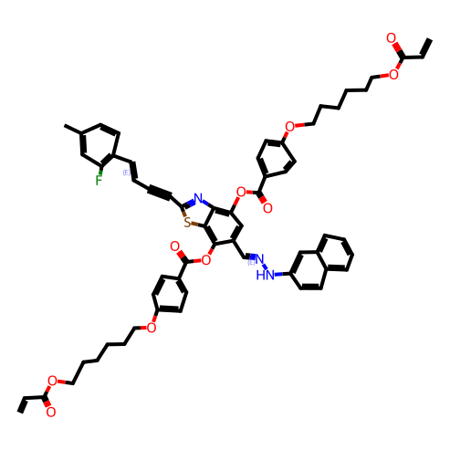 C=CC(=O)OCCCCCCOc1ccc(C(=O)Oc2cc(/C=N/Nc3ccc4ccccc4c3)c(OC(=O)c3ccc(OCCCCCCOC(=O)C=C)cc3)c3sc(C#C/C=C/c4ccc(C)cc4F)nc23)cc1